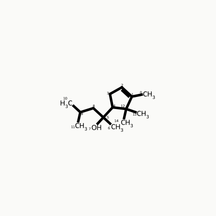 CC1=CCC(C(C)(O)CC(C)C)C1(C)C